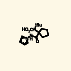 CC(C)(C)N(C(=O)O)C1(C(=O)Nn2cccc2)CCCC1